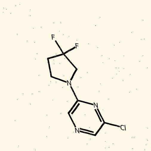 FC1(F)CCN(c2cncc(Cl)n2)C1